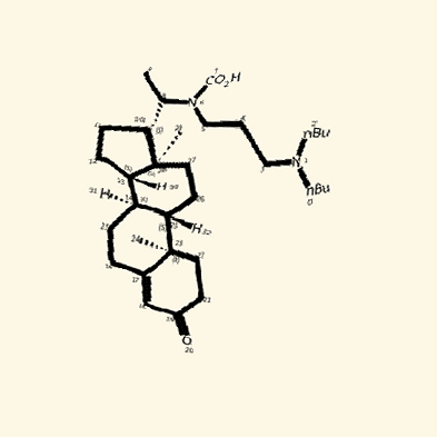 CCCCN(CCCC)CCCN(C(=O)O)C(C)[C@H]1CC[C@H]2[C@@H]3CCC4=CC(=O)CC[C@]4(C)[C@H]3CC[C@]12C